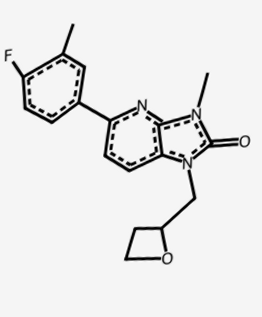 Cc1cc(-c2ccc3c(n2)n(C)c(=O)n3CC2CCO2)ccc1F